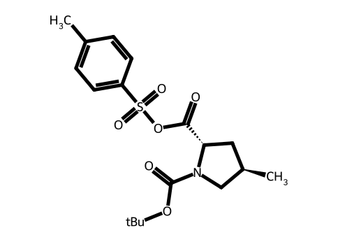 Cc1ccc(S(=O)(=O)OC(=O)[C@@H]2C[C@@H](C)CN2C(=O)OC(C)(C)C)cc1